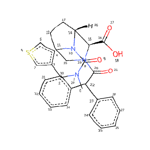 CN(Cc1ccsc1)C(=O)N1C2CC[C@@H]1[C@@H](C(=O)O)N(C(=O)C(c1ccccc1)c1ccccc1)C2